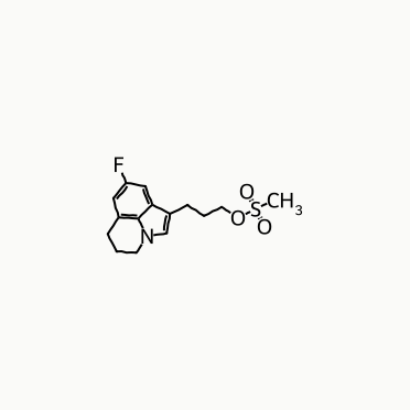 CS(=O)(=O)OCCCc1cn2c3c(cc(F)cc13)CCC2